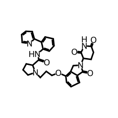 O=C1CCC(N2Cc3c(OCCCN4CCCC4C(=O)Nc4ccccc4-c4ccccn4)cccc3C2=O)C(=O)N1